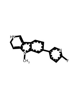 Cn1c2c(c3ccc(-c4ccc(F)nc4)cc31)=CNCC=2